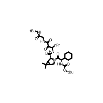 CCCC(NC(=O)[C@@H]1C2C(CN1C(=O)[C@@H](NC(=O)OC(C)(C)C)C1CCCCC1)C2(C)C)C(=O)C(=O)NCC(=O)NC(C)(C)C